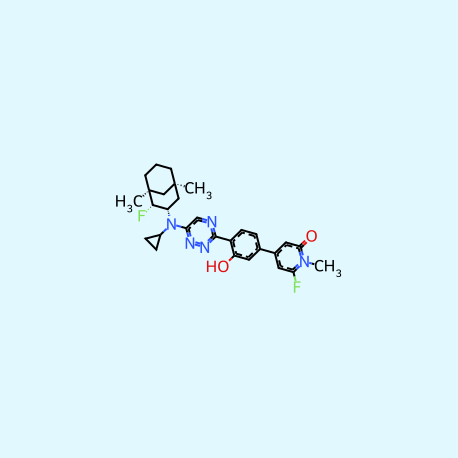 Cn1c(F)cc(-c2ccc(-c3ncc(N(C4CC4)[C@H]4C[C@]5(C)CCC[C@@](C)(C5)[C@H]4F)nn3)c(O)c2)cc1=O